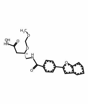 COCO[C@H](CNC(=O)c1ccc(-c2cc3ccccc3o2)cc1)CC(=O)NO